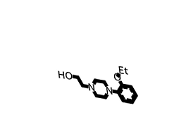 CCOc1ccccc1N1CCN(CCO)CC1